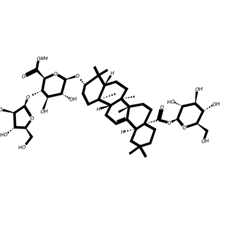 COC(=O)[C@H]1O[C@@H](O[C@H]2CC[C@]3(C)[C@H]4CC=C5[C@@H]6CC(C)(C)CC[C@]6(C(=O)O[C@@H]6O[C@H](CO)[C@@H](O)[C@H](O)[C@H]6O)CC[C@@]5(C)[C@]4(C)CC[C@H]3C2(C)C)[C@H](O)[C@@H](O)[C@@H]1O[C@H]1O[C@@H](CO)[C@H](O)[C@H]1O